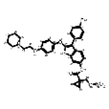 O=C(Oc1ccc2c(-c3ccc(F)cc3)c(Oc3ccc(OCCN4CCCCC4)cc3)sc2c1)C1(CO[N+](=O)[O-])CC1